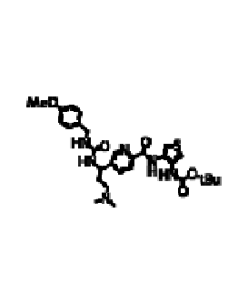 COc1ccc(CNC(=O)NC(CCN(C)C)c2ccc(C(=O)Nc3cscc3NC(=O)OC(C)(C)C)nc2)cc1